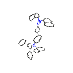 c1ccc(-c2cc(-c3ccccc3)cc(N(c3ccc(-c4ccc(N(c5ccc6ccccc6c5)c5cccc6ccccc56)cc4)cc3)c3cccc4ccccc34)c2)cc1